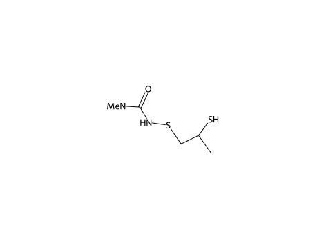 CNC(=O)NSCC(C)S